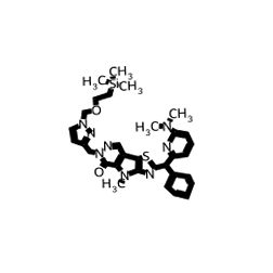 CN(C)c1cccc(C(c2ccccc2)c2nc3c(s2)c2cnn(Cc4ccn(COCC[Si](C)(C)C)n4)c(=O)c2n3C)n1